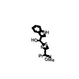 CO/N=C(/c1csc(C(O)c2c[nH]c3ccccc23)n1)C(C)C